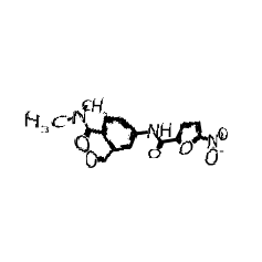 CN(C)C(=O)c1ccc(NC(=O)c2ccc([N+](=O)[O-])o2)cc1C=O